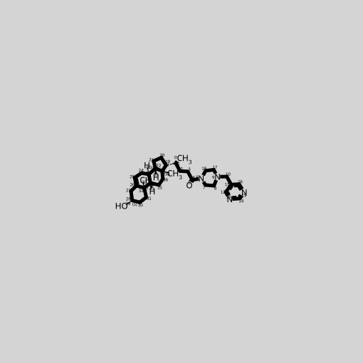 CC(CCC(=O)N1CCN(Cc2cncnc2)CC1)[C@H]1CC[C@H]2[C@@H]3CC=C4C[C@@H](O)CC[C@]4(C)[C@H]3CC[C@]12C